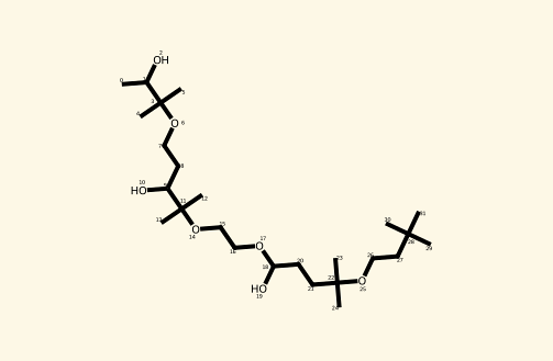 CC(O)C(C)(C)OCCC(O)C(C)(C)OCCOC(O)CCC(C)(C)OCCC(C)(C)C